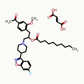 CCCCCCCCCC(=O)OC(Cc1ccc(C(C)=O)cc1OC)CN1CCC(c2noc3cc(F)ccc23)CC1.O=C(O)/C=C/C(=O)O